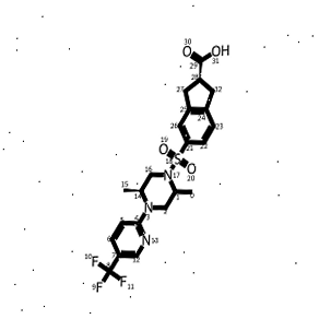 CC1CN(c2ccc(C(F)(F)F)cn2)[C@@H](C)CN1S(=O)(=O)c1ccc2c(c1)C[C@@H](C(=O)O)C2